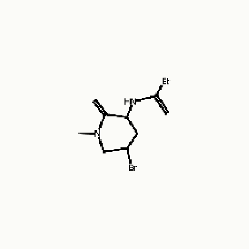 C=C(CC)NC1CC(Br)CN(C)C1=C